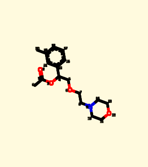 CC(=O)OC(COCCN1CCOCC1)c1cccc(C)c1